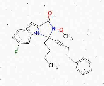 CCCCC1(C#CCCc2ccccc2)N(OC)C(=O)c2cc3ccc(F)cc3n21